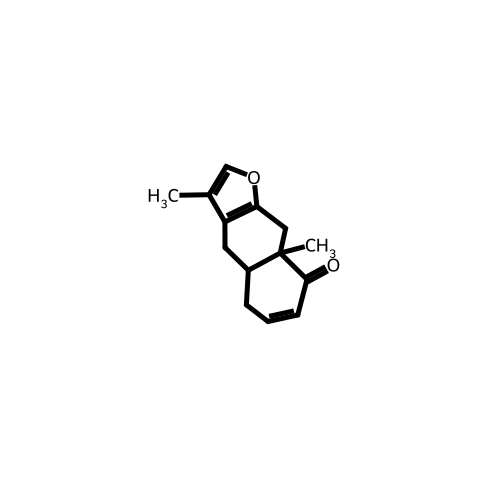 Cc1coc2c1CC1CC=CC(=O)C1(C)C2